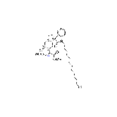 CC[C@H]1CN2CC[C@]3(C(=O)N(CCCCCCCCCCCCCl)c4ccccc43)C2C[C@@H]1/C(=C\OC)C(=O)OC